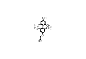 Cc1cc(O)cc(C)c1-c1c(C)cc(OCC2CO2)cc1C